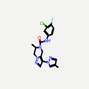 Cc1cnn(-c2cnn3c2CN(C(=O)Nc2ccc(F)c(Cl)c2)C(C)C3)c1